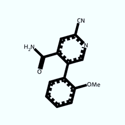 COc1ccccc1-c1cnc(C#N)cc1C(N)=O